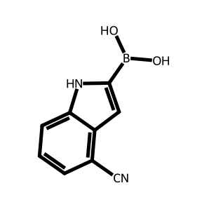 N#Cc1cccc2[nH]c(B(O)O)cc12